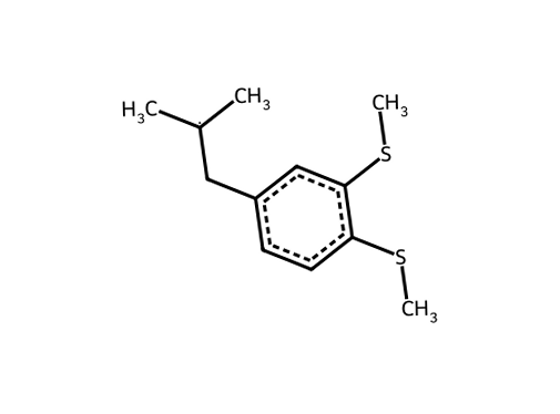 CSc1ccc(C[C](C)C)cc1SC